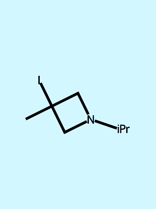 CC(C)N1CC(C)(I)C1